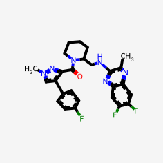 Cc1nc2cc(F)c(F)cc2nc1NCC1CCCCN1C(=O)c1nn(C)cc1-c1ccc(F)cc1